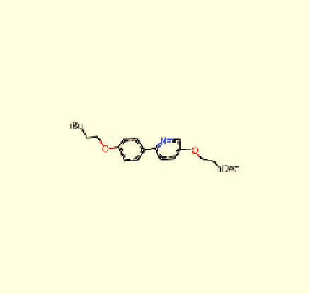 CCCCCCCCCCCCOc1ccc(-c2ccc(OCCC(C)CC)cc2)nc1